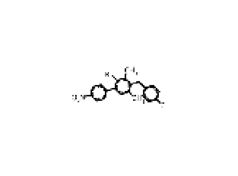 Cc1cc(-c2ccc([N+](=O)[O-])cc2)c(Br)c(C)c1Cc1ccc(Cl)cc1